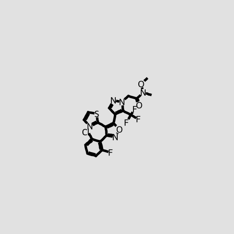 CON(C)C(=O)Cn1ncc(-c2onc(-c3c(F)cccc3Cl)c2-c2nccs2)c1C(F)(F)F